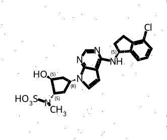 CN([C@H]1C[C@@H](n2ccc3c(N[C@H]4CCc5c(Cl)cccc54)ncnc32)C[C@@H]1O)S(=O)(=O)O